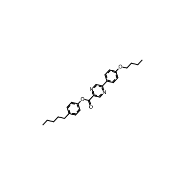 CCCCCc1ccc(OC(=O)c2cnc(-c3ccc(OCCCC)cc3)cn2)cc1